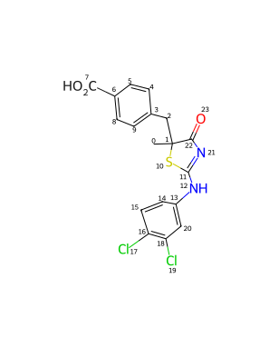 CC1(Cc2ccc(C(=O)O)cc2)SC(Nc2ccc(Cl)c(Cl)c2)=NC1=O